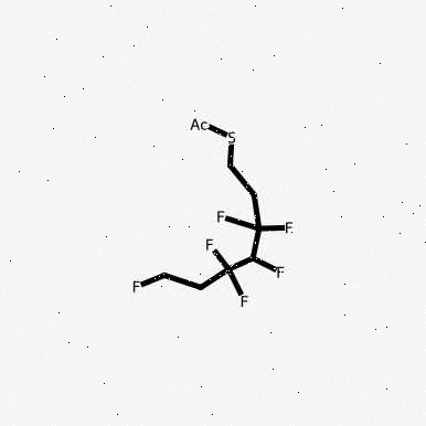 CC(=O)SCCC(F)(F)C(F)C(F)(F)CCF